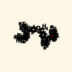 CCC(Oc1ccc(C(=NOS(=O)(=O)C(F)(F)C(F)(F)C(F)(F)C(F)(F)F)C(F)(F)C(F)(F)C(F)(F)F)cc1)Oc1ccc(C(=NOS(=O)(=O)C(F)(F)C(F)(F)C(F)(F)C(F)(F)F)C(F)(F)C(F)(F)C(F)(F)F)cc1